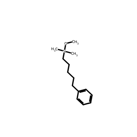 CO[Si](C)(C)CCCCCc1ccccc1